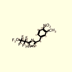 Cc1cc(Cc2n[nH]c(C(F)(F)C(F)(F)C(F)(F)F)n2)ccc1[N+](=O)[O-]